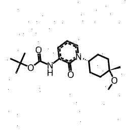 CO[C@]1(C)CC[C@H](n2cccc(NC(=O)OC(C)(C)C)c2=O)CC1